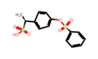 C[C@@H](c1ccc(OS(=O)(=O)c2ccccc2)cc1)S(=O)(=O)O